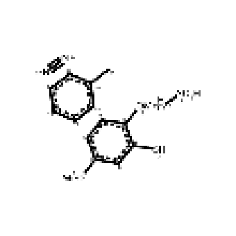 COc1ccc(OC)c(S)c1.Cc1ccccc1.N#N.O=S(=O)(O)O